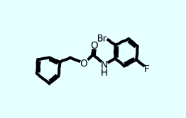 O=C(Nc1cc(F)ccc1Br)OCc1ccccc1